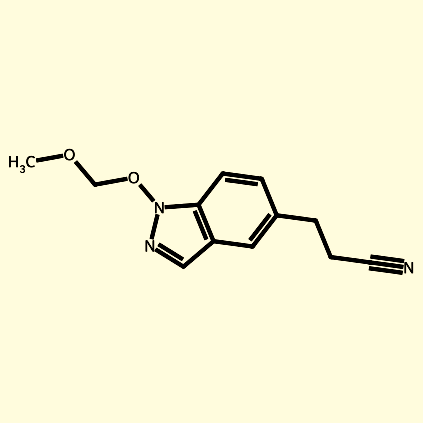 COCOn1ncc2cc(CCC#N)ccc21